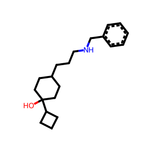 OC1(C2CCC2)CCC(CCCNCc2ccccc2)CC1